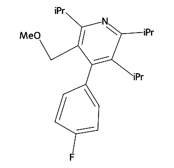 COCc1c(C(C)C)nc(C(C)C)c(C(C)C)c1-c1ccc(F)cc1